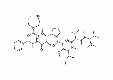 CC[C@H](C)[C@@H](C(CC(=O)N1CCC[C@H]1[C@H](OC)[C@@H](C)C(=O)N[C@H](C)[C@@H](OC(=O)N1CCCNCC1)c1ccccc1)OC)N(C)C(=O)[C@@H](NC(=O)C(C(C)C)N(C)C)C(C)C